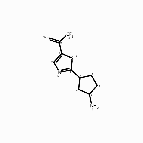 NC1CCC(c2ncc(C(=O)C(F)(F)F)s2)C1